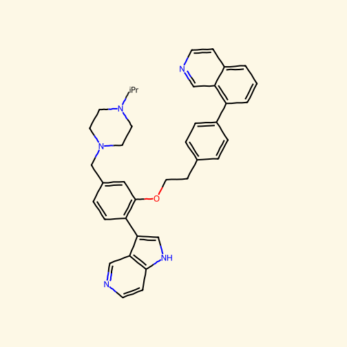 CC(C)N1CCN(Cc2ccc(-c3c[nH]c4ccncc34)c(OCCc3ccc(-c4cccc5ccncc45)cc3)c2)CC1